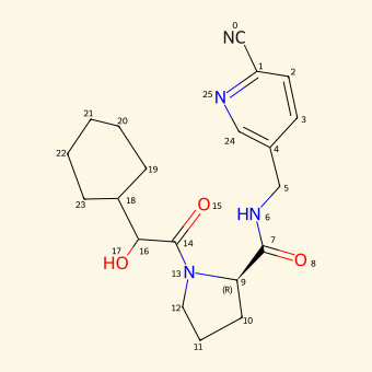 N#Cc1ccc(CNC(=O)[C@H]2CCCN2C(=O)C(O)C2CCCCC2)cn1